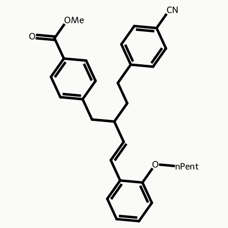 CCCCCOc1ccccc1/C=C/C(CCc1ccc(C#N)cc1)Cc1ccc(C(=O)OC)cc1